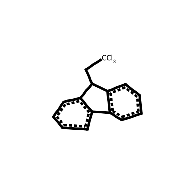 ClC(Cl)(Cl)CC1c2ccccc2-c2ccccc21